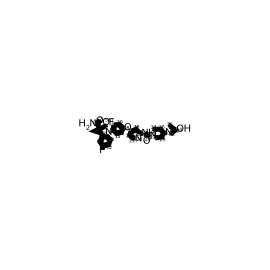 NC(=O)C1(C(=O)N(c2ccc(F)cc2)c2ccc(Oc3ccnc(NC(=O)N4CCC(N5CC(O)C5)CC4)c3)cc2F)CC1